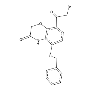 O=C1COc2c(C(=O)CBr)ccc(OCc3ccccc3)c2N1